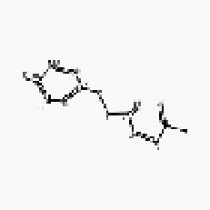 Cc1ccc(CCc2cnc(C)nc2)cc1